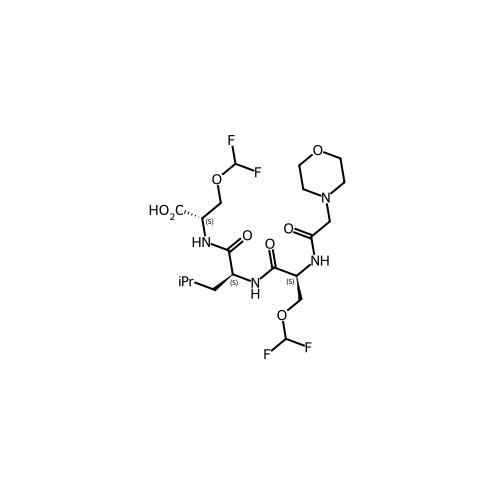 CC(C)C[C@H](NC(=O)[C@H](COC(F)F)NC(=O)CN1CCOCC1)C(=O)N[C@@H](COC(F)F)C(=O)O